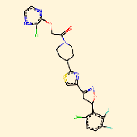 O=C(COc1nccnc1Cl)N1CCC(c2nc(C3=NOC(c4c(Cl)ccc(F)c4F)C3)cs2)CC1